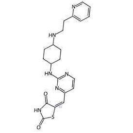 O=C1NC(=O)/C(=C\c2ccnc(NC3CCC(NCCc4ccccn4)CC3)n2)S1